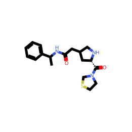 CC(NC(=O)CC1CN[C@H](C(=O)N2CCSC2)C1)c1ccccc1